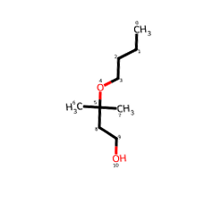 CCCCOC(C)(C)CCO